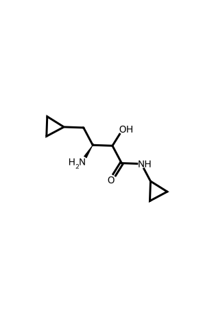 N[C@@H](CC1CC1)C(O)C(=O)NC1CC1